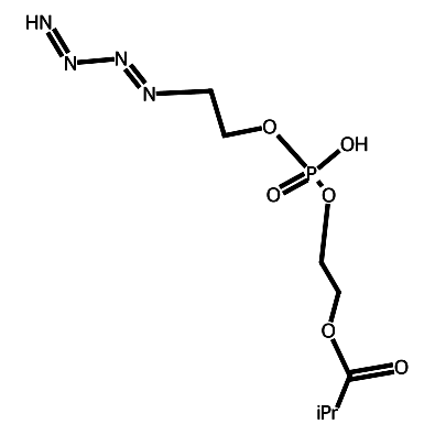 CC(C)C(=O)OCCOP(=O)(O)OCCN=NN=N